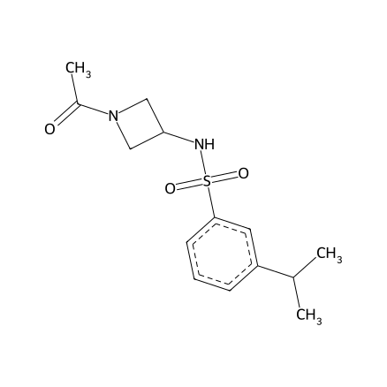 CC(=O)N1CC(NS(=O)(=O)c2cccc(C(C)C)c2)C1